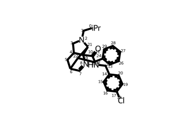 CC(C)CN1CC2CC3C=NC2(C(=O)NCc2ccc(Cl)cc2)C1C3Cc1ccccc1